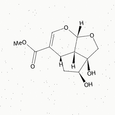 COC(=O)C1=CO[C@@H]2OC[C@@]3(O)[C@@H]2[C@@H]1C[C@@H]3O